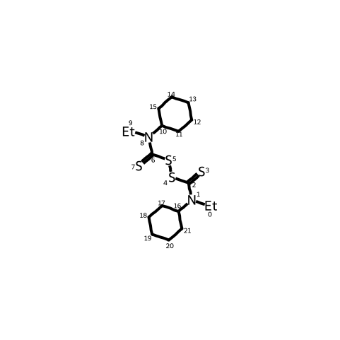 CCN(C(=S)SSC(=S)N(CC)C1CCCCC1)C1CCCCC1